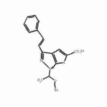 CCOC(=O)c1cc2c(C=Cc3ccccc3)nn(C(C)OCC)c2s1